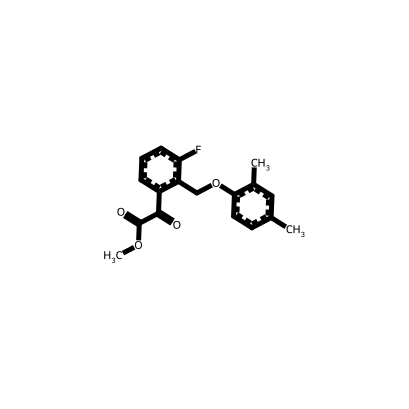 COC(=O)C(=O)c1cccc(F)c1COc1ccc(C)cc1C